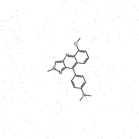 COc1cccc2c(-c3ccc(N(C)C)cc3)c3nn(C)cc3nc12